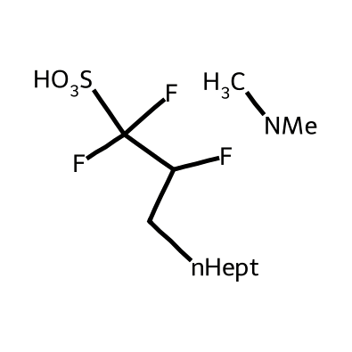 CCCCCCCCC(F)C(F)(F)S(=O)(=O)O.CNC